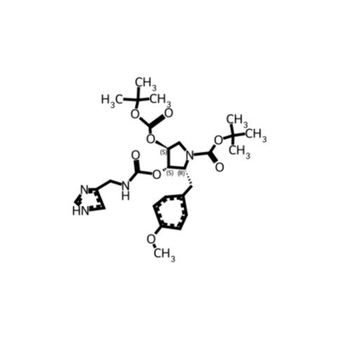 COc1ccc(C[C@@H]2[C@H](OC(=O)NCc3c[nH]cn3)[C@@H](OC(=O)OC(C)(C)C)CN2C(=O)OC(C)(C)C)cc1